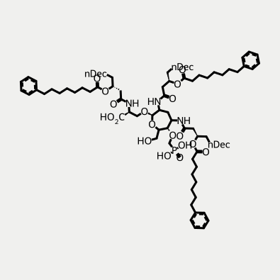 CCCCCCCCCCC[C@H](CC(=O)NC1CC(NC(=O)C[C@@H](CCCCCCCCCCC)OC(=O)CCCCCCCc2ccccc2)[C@H](OCP(=O)(O)O)C(CO)O[C@H]1OC[C@H](NC(=O)C[C@@H](CCCCCCCCCCC)OC(=O)CCCCCCCc1ccccc1)C(=O)O)OC(=O)CCCCCCCc1ccccc1